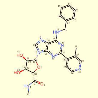 CNC(=O)[C@H]1O[C@@H](n2cnc3c(NCc4ccccc4)nc(-c4ccncc4C)nc32)[C@H](O)[C@@H]1O